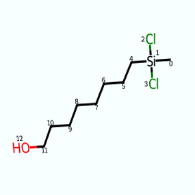 C[Si](Cl)(Cl)CCCCCCCCO